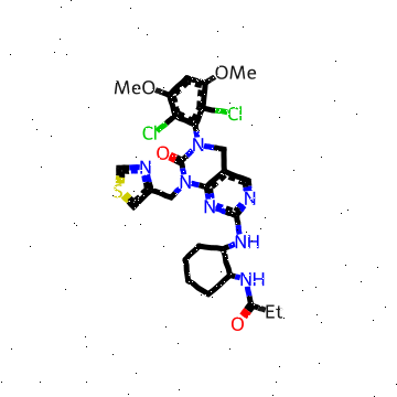 CCC(=O)NC1CCCCC1Nc1ncc2c(n1)N(Cc1cscn1)C(=O)N(c1c(Cl)c(OC)cc(OC)c1Cl)C2